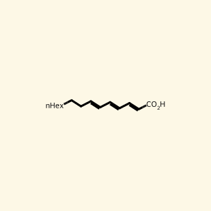 CCCCCCCCC=CC=CC=CC(=O)O